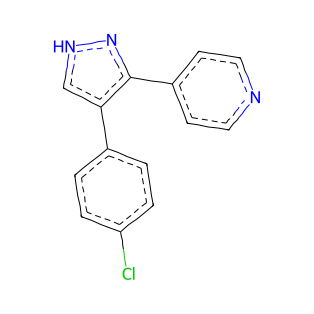 Clc1ccc(-c2c[nH]nc2-c2ccncc2)cc1